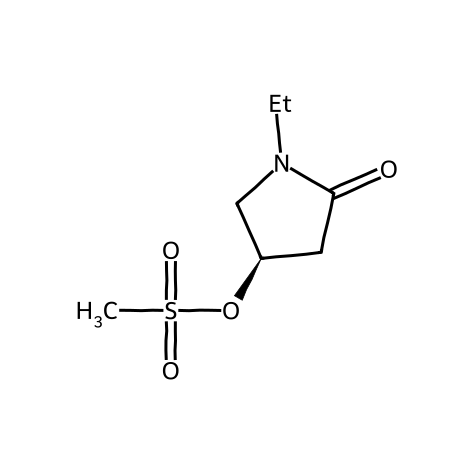 CCN1C[C@H](OS(C)(=O)=O)CC1=O